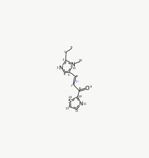 CCc1ncc(/C=C/C(=O)c2nccs2)n1C